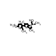 CCc1nc(OC)ccc1-c1nc2c(C)cn([C@H](CC)CO)c2cc1C